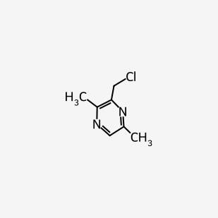 Cc1cnc(C)c(CCl)n1